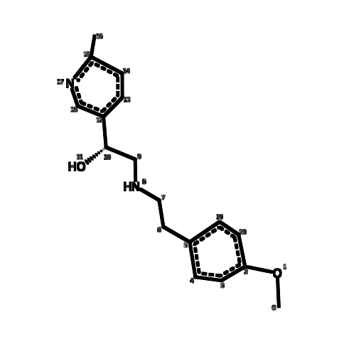 COc1ccc(CCNC[C@H](O)c2ccc(C)nc2)cc1